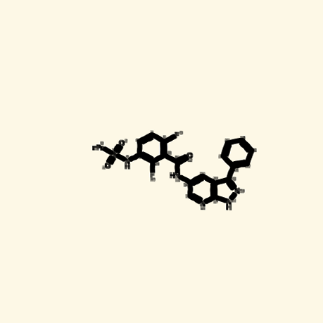 CCCS(=O)(=O)Nc1ccc(F)c(C(=O)Nc2cnc3[nH]nc(-c4ccccc4)c3c2)c1F